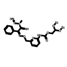 CCOC(COC(=O)Nc1cccc(CO/N=C(\C(=N)N(C)N=N)c2ccccc2)n1)OCC